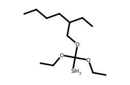 CCCCC(CC)COC([SiH3])(OCC)OCC